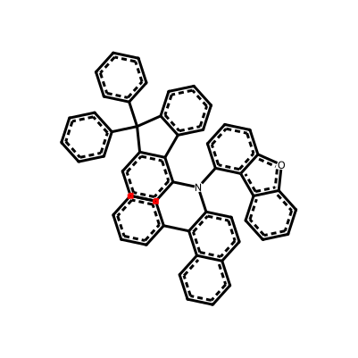 c1ccc(-c2c(N(c3cccc4c3-c3ccccc3C4(c3ccccc3)c3ccccc3)c3cccc4oc5ccccc5c34)ccc3ccccc23)cc1